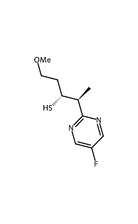 COCC[C@@H](S)[C@@H](C)c1ncc(F)cn1